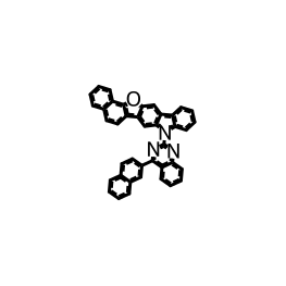 c1ccc2cc(-c3nc(-n4c5ccccc5c5cc6oc7c8ccccc8ccc7c6cc54)nc4ccccc34)ccc2c1